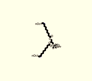 CCCCCCCC/C=C\CCCCCCCC(=O)OCC(COP(=O)(OCC)OCCC)OC(=O)CCCCCCC/C=C\CCCCCCCC